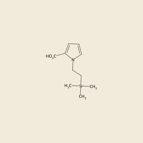 C[Si](C)(C)CCn1cccc1C(=O)O